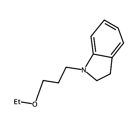 CCOCCCN1CCc2ccccc21